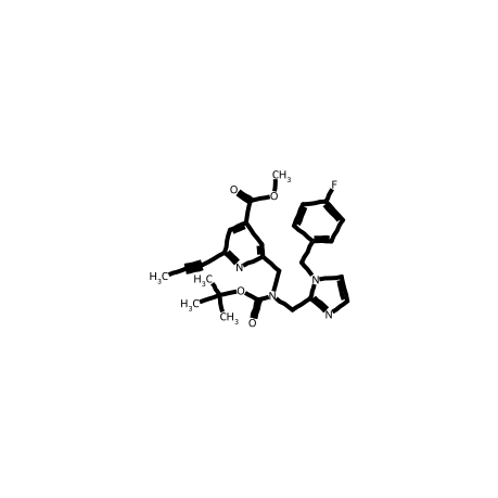 CC#Cc1cc(C(=O)OC)cc(CN(Cc2nccn2Cc2ccc(F)cc2)C(=O)OC(C)(C)C)n1